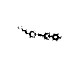 CCC=C[C@H]1CO[C@H](C#Cc2cnc(-c3ccc(F)cc3)nc2)OC1